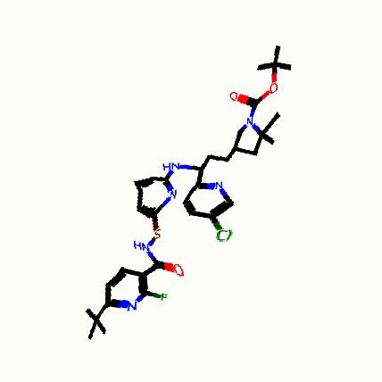 CC(C)(C)OC(=O)N1CC(CCC(Nc2cccc(SNC(=O)c3ccc(C(C)(C)C)nc3F)n2)c2ccc(Cl)cn2)CC1(C)C